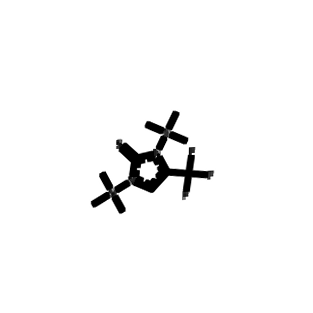 C[Si](C)(C)n1cc(C(F)(F)F)n([Si](C)(C)C)c1=S